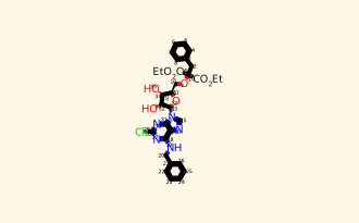 CCOC(=O)C(Cc1ccccc1)(OC[C@H]1O[C@@H](n2cnc3c(NCc4ccccc4)nc(Cl)nc32)[C@H](O)[C@@H]1O)C(=O)OCC